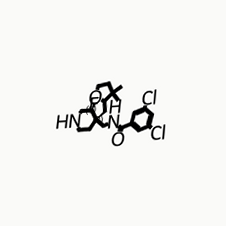 CC1(C)CCOC1C[C@@]1(CNC(=O)c2cc(Cl)cc(Cl)c2)CCNC[C@H]1F